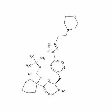 CC(C)(C)OC(=O)NC1(C(=O)N[C@@H](Cc2ccc(-c3cnn(CCN4CCOCC4)c3)cc2)C(N)=O)CCCCC1